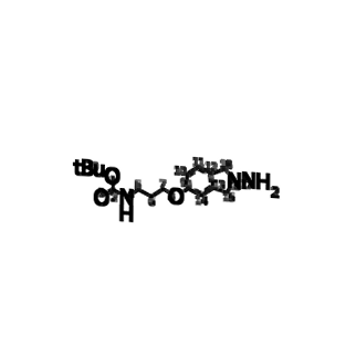 CC(C)(C)OC(=O)NCCCOc1ccc2c(c1)CN(N)C2